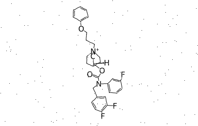 O=C(O[C@H]1C[N+]2(CCCOc3ccccc3)CCC1CC2)N(Cc1ccc(F)c(F)c1)c1cccc(F)c1